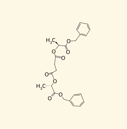 C[C@H](OC(=O)CCC(=O)O[C@@H](C)C(=O)OCc1ccccc1)C(=O)OCc1ccccc1